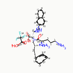 NCCC[C@@H](N)C(=O)N(CCCc1ccccc1)[C@@H](CNc1ccc2ccccc2c1)C(=O)O.O=C(O)C(F)(F)F